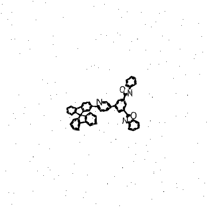 c1ccc2c(c1)-c1ccccc1C21c2ccccc2-c2ccc(-c3ccc(-c4cc(-c5nc6ccccc6o5)cc(-c5nc6ccccc6o5)c4)cn3)cc21